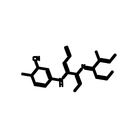 C=C\C=C(NC1=CC(C#N)C(C)C=C1)/C(=C\C)/N=C(\C=C/C)C(/C)=C/C